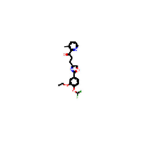 CCOc1cc(-c2nc(CCC(=O)c3ncccc3C)co2)ccc1OC(F)F